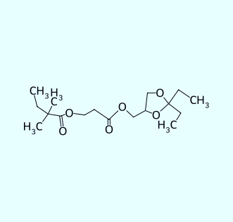 CCC1(CC)OCC(COC(=O)CCOC(=O)C(C)(C)CC)O1